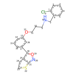 Clc1ccccc1CNCCCOc1cccc(-c2onc3sccc23)c1